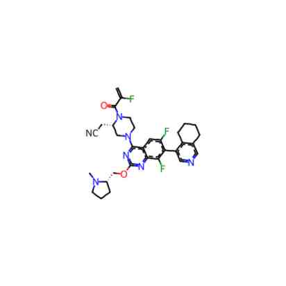 C=C(F)C(=O)N1CCN(c2nc(OC[C@@H]3CCCN3C)nc3c(F)c(-c4cncc5c4CCCC5)c(F)cc23)C[C@@H]1CC#N